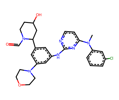 CN(c1cccc(Cl)c1)c1ccnc(Nc2cc(C3CC(O)CCN3C=O)cc(N3CCOCC3)c2)n1